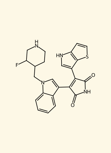 O=C1NC(=O)C(c2c[nH]c3ccsc23)=C1c1cn(CC2CCNCC2F)c2ccccc12